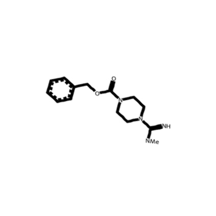 CNC(=N)N1CCN(C(=O)OCc2ccccc2)CC1